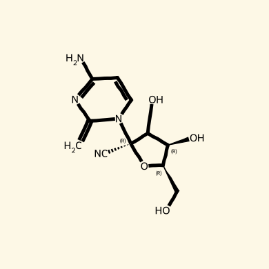 C=C1N=C(N)C=CN1[C@]1(C#N)O[C@H](CO)[C@H](O)C1O